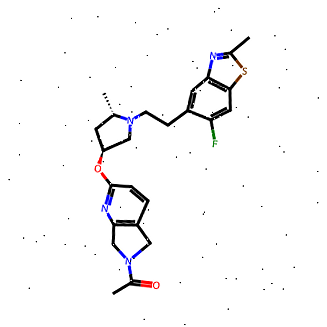 CC(=O)N1Cc2ccc(O[C@H]3C[C@H](C)N(CCc4cc5nc(C)sc5cc4F)C3)nc2C1